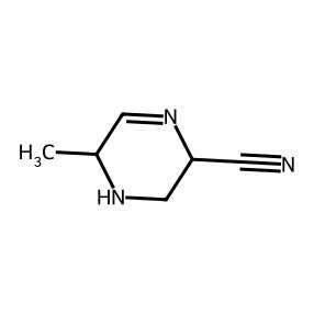 CC1C=NC(C#N)CN1